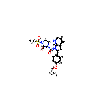 CCOc1ccc(-c2cc3cccnc3n2C(=O)N2CCN(S(C)(=O)=O)C2=O)cc1